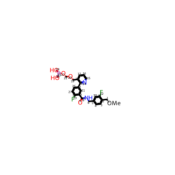 COCc1ccc(CNC(=O)c2cc(-c3ncccc3COCOP(O)O)ccc2F)cc1F